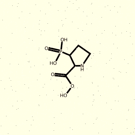 O=C(OO)C1NCCC1P(=O)(O)O